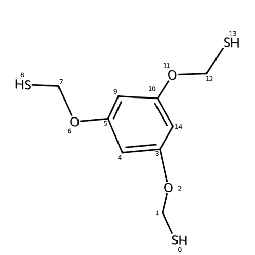 SCOc1cc(OCS)cc(OCS)c1